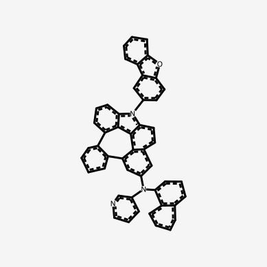 c1cncc(N(c2cc3c4c(ccc5c4c4c(cccc4n5-c4ccc5oc6ccccc6c5c4)-c4ccccc4-3)c2)c2cccc3ccccc23)c1